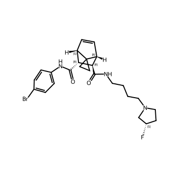 O=C(NCCCCN1CC[C@H](F)C1)[C@H]1[C@H](C(=O)Nc2ccc(Br)cc2)[C@@H]2C=C[C@H]1C21CC1